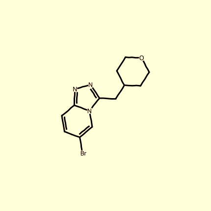 Brc1ccc2nnc(CC3CCOCC3)n2c1